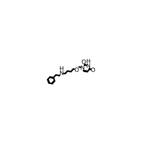 O=c1ccn(COCCCCNCCc2ccccc2)c(=O)[nH]1